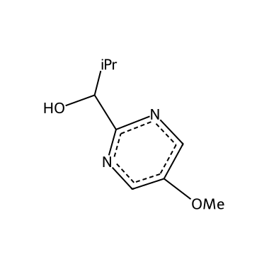 COc1cnc(C(O)C(C)C)nc1